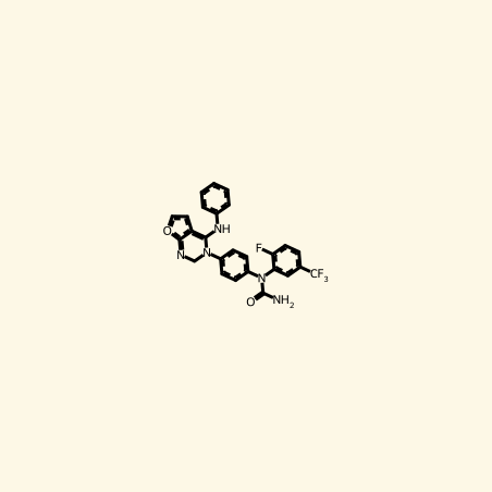 NC(=O)N(c1ccc(N2CN=c3occc3=C2Nc2ccccc2)cc1)c1cc(C(F)(F)F)ccc1F